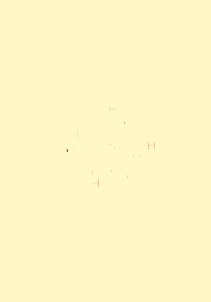 C[CH](C)[Fe]([CH](C)C)([CH](C)C)[S](=O)(=O)Oc1cccc2ccccc12